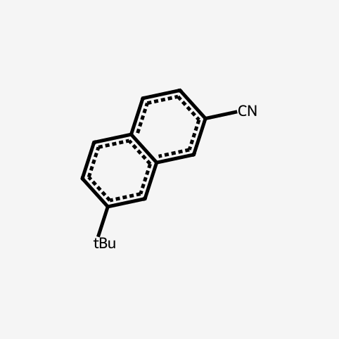 CC(C)(C)c1ccc2ccc(C#N)cc2c1